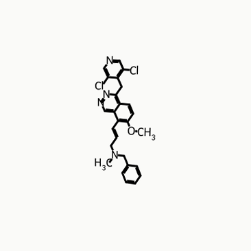 COc1ccc2c(Cc3c(Cl)cncc3Cl)nncc2c1/C=C/CN(C)Cc1ccccc1